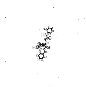 Cc1ccccc1NC(=O)CCNC(=O)C(Cc1ccccc1)CP(=O)(O)O